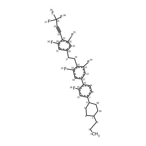 CCCC1CCC(c2ccc(-c3cc(F)c(CCc4cc(F)c(C#CC(F)(F)F)c(F)c4)c(F)c3)c(F)c2)CC1